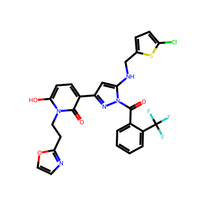 O=C(c1ccccc1C(F)(F)F)n1nc(-c2ccc(O)n(CCc3ncco3)c2=O)cc1NCc1ccc(Cl)s1